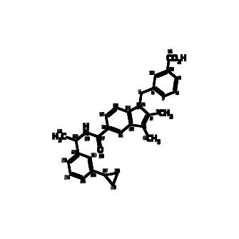 Cc1c(C)n(Cc2cccc(C(=O)O)c2)c2ccc(C(=O)NC(C)c3cccc(C4CC4)c3)cc12